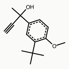 C#CC(C)(O)c1ccc(OC)c(C(C)(C)C)c1